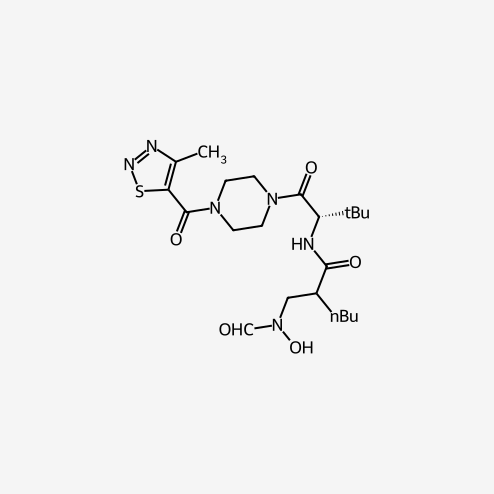 CCCCC(CN(O)C=O)C(=O)N[C@H](C(=O)N1CCN(C(=O)c2snnc2C)CC1)C(C)(C)C